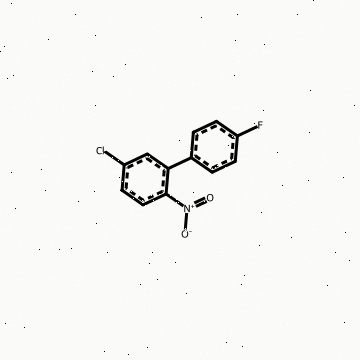 O=[N+]([O-])c1ccc(Cl)cc1-c1ccc(F)cc1